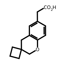 O=C(O)Cc1ccc2c(c1)CC1(CCC1)CO2